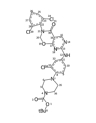 CC(C)(C)OC(=O)N1CCN(c2ccc(Nc3ncc4c(n3)OCN(c3c(Cl)cccc3Cl)C4=O)cc2Cl)CC1